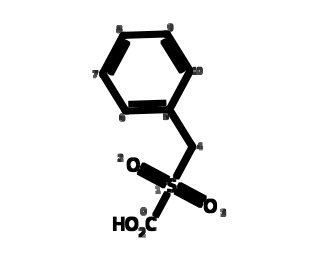 O=C(O)S(=O)(=O)Cc1ccccc1